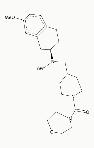 CCCN(CC1CCN(C(=O)N2CCOCC2)CC1)[C@@H]1CCc2ccc(OC)cc2C1